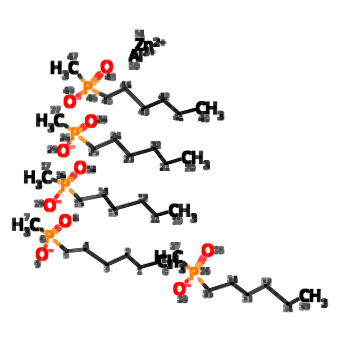 CCCCCCP(C)(=O)[O-].CCCCCCP(C)(=O)[O-].CCCCCCP(C)(=O)[O-].CCCCCCP(C)(=O)[O-].CCCCCCP(C)(=O)[O-].[Al+3].[Zn+2]